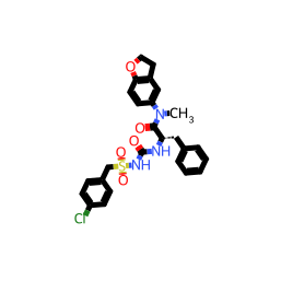 CN(C(=O)[C@H](Cc1ccccc1)NC(=O)NS(=O)(=O)Cc1ccc(Cl)cc1)c1ccc2c(c1)CCO2